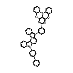 c1ccc(-c2ccc(-n3c4ccccc4c4c5c6ccccc6n(-c6cccc(-c7nc8c9c(n7)Oc7ccccc7B9c7ccccc7O8)c6)c5ccc43)cc2)cc1